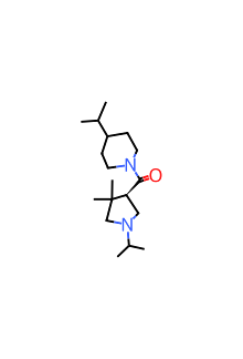 CC(C)C1CCN(C(=O)[C@H]2CN(C(C)C)CC2(C)C)CC1